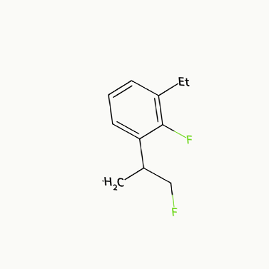 [CH2]C(CF)c1cccc(CC)c1F